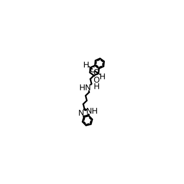 O[C@@]1(CCNCCCCc2nc3ccccc3[nH]2)C[C@H]2CC[C@@H]1c1ccccc12